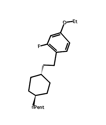 CCCCC[C@H]1CC[C@H](CCc2ccc(OCC)cc2F)CC1